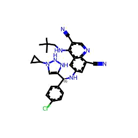 CC(C)(C)CNc1c(C#N)cnc2c(C#N)cc(N[C@H](C3=CN(C4CC4)NN3)c3ccc(Cl)cc3)cc12